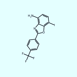 Nc1ccc(I)c2oc(-c3ccc(C(F)(F)F)cc3)nc12